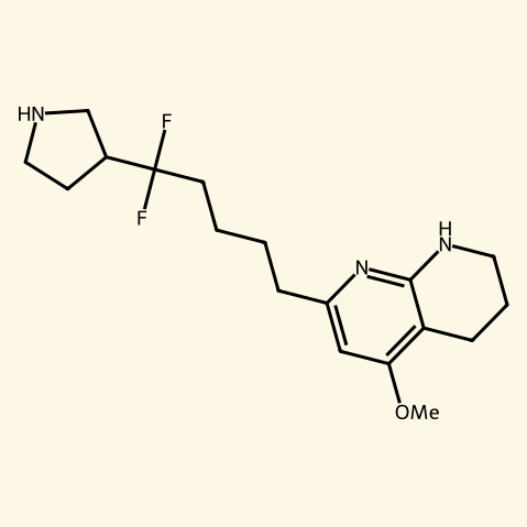 COc1cc(CCCCC(F)(F)C2CCNC2)nc2c1CCCN2